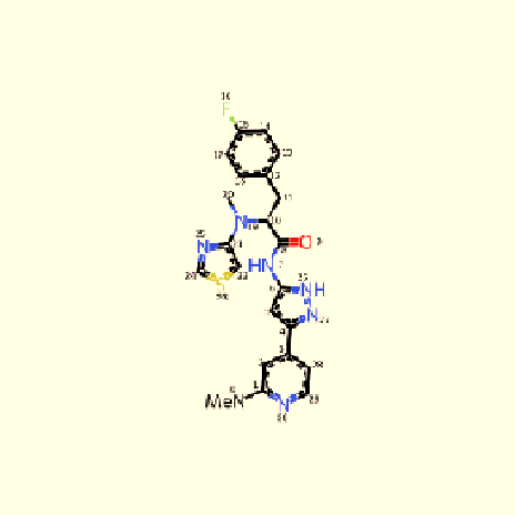 CNc1cc(-c2cc(NC(=O)[C@H](Cc3ccc(F)cc3)N(C)c3cscn3)[nH]n2)ccn1